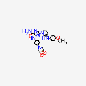 COc1ccc(N[C@@H]2CCCN(c3cnc(C(N)=O)c(Nc4ccc(N5CCS(=O)(=O)CC5)cc4)n3)C2)cc1